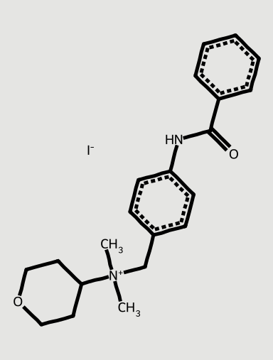 C[N+](C)(Cc1ccc(NC(=O)c2ccccc2)cc1)C1CCOCC1.[I-]